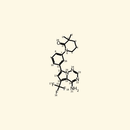 CC1(C)CCCN(c2cccc(-c3cc(C(F)(F)F)c4c(N)ncnn34)c2)C1=O